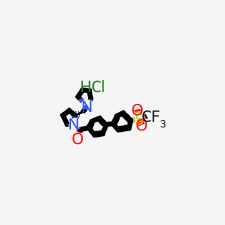 Cl.O=C(c1ccc(-c2ccc(S(=O)(=O)C(F)(F)F)cc2)cc1)N1CCC[C@H]1CN1CCCC1